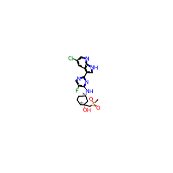 CS(=O)(=O)C[C@@]1(O)CCC[C@H](Nc2nc(-c3c[nH]c4ncc(Cl)cc34)ncc2F)C1